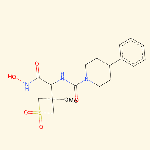 COC1(C(NC(=O)N2CCC(c3ccccc3)CC2)C(=O)NO)CS(=O)(=O)C1